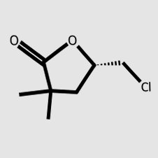 CC1(C)C[C@@H](CCl)OC1=O